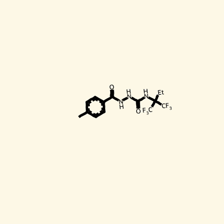 CCC(NC(=O)NNC(=O)c1ccc(C)cc1)(C(F)(F)F)C(F)(F)F